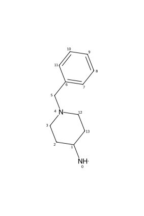 [NH]C1CCN(Cc2ccccc2)CC1